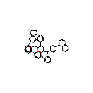 c1ccc(-c2ccc(-c3ccccc3N(c3ccc(-c4cccc5ccccc45)cc3)c3ccc(-n4c5ccccc5c5cc6ccccc6cc54)c(-c4ccccc4)c3)cc2)cc1